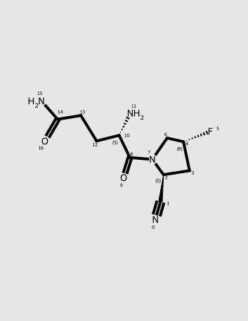 N#C[C@@H]1C[C@@H](F)CN1C(=O)[C@@H](N)CCC(N)=O